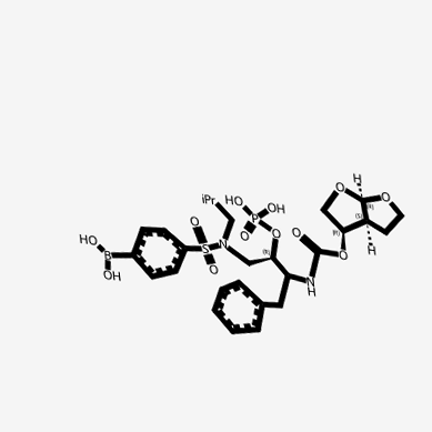 CC(C)CN(C[C@@H](OP(=O)(O)O)C(Cc1ccccc1)NC(=O)O[C@H]1CO[C@H]2OCC[C@H]21)S(=O)(=O)c1ccc(B(O)O)cc1